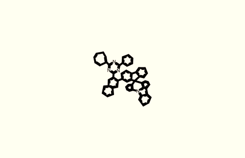 C1=CCC=C(c2nc(-c3ccccc3)nc(-c3cc4ccccc4cc3-c3ccc4c(c3)C3(c5ccccc5-4)c4ccccc4-n4c5ccccc5c5cccc3c54)n2)C=C1